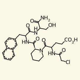 NC(=O)C(CO)NC(=O)C(Cc1ccc2ccccc2c1)NC(=O)[C@@H]1CCCCN1C(=O)C(CCC(=O)O)NC(=O)CCl